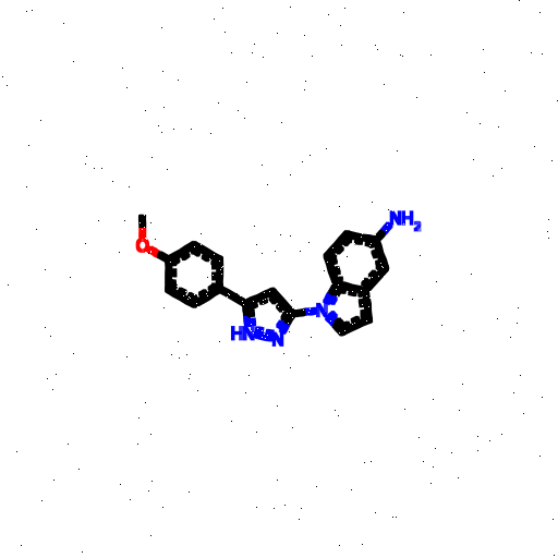 COc1ccc(-c2cc(-n3ccc4cc(N)ccc43)n[nH]2)cc1